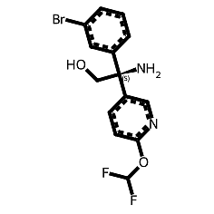 N[C@](CO)(c1ccc(OC(F)F)nc1)c1cccc(Br)c1